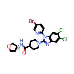 O=C(N[C@@H]1CCOC1)C1CCN(c2nc3cc(Cl)c(Cl)cc3n2-c2ccc(Br)cn2)CC1